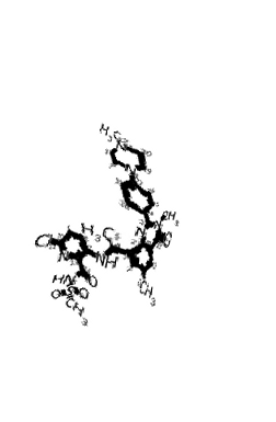 Cc1cc([C@@H](C)Nc2ccc(Cl)nc2C(=O)NS(C)(=O)=O)c2nc(-c3ccc(N4CCN(C)CC4)cc3)n(C)c(=O)c2c1